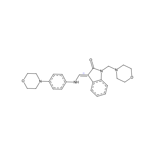 O=C1/C(=C/Nc2ccc(N3CCOCC3)cc2)c2ccccc2N1CN1CCOCC1